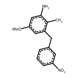 COc1cc(N)c(C)c(Cc2cccc([N+](=O)[O-])c2)c1